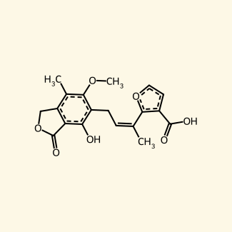 COc1c(C)c2c(c(O)c1CC=C(C)c1occc1C(=O)O)C(=O)OC2